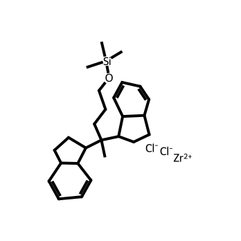 CC(CCCO[Si](C)(C)C)(C1CCC2C=CC=CC21)C1CCC2C=CC=CC21.[Cl-].[Cl-].[Zr+2]